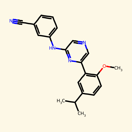 COc1ccc(C(C)C)cc1-c1cncc(Nc2cccc(C#N)c2)n1